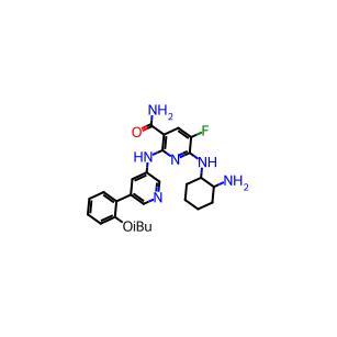 CC(C)COc1ccccc1-c1cncc(Nc2nc(NC3CCCCC3N)c(F)cc2C(N)=O)c1